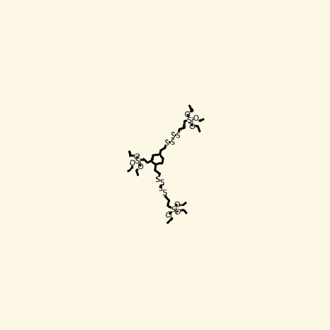 CCO[Si](CCCSSSSCCC1CCC(CCSSSSCCC[Si](OCC)(OCC)OCC)C(CC[Si](OCC)(OCC)OCC)C1)(OCC)OCC